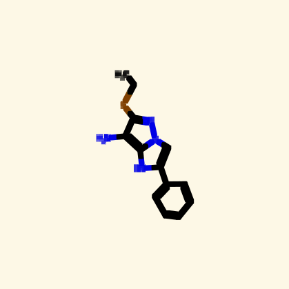 CCSc1nn2cc(-c3ccccc3)[nH]c2c1N